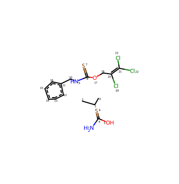 CCC.NC(O)=S.S=C(NCc1ccccc1)OCC(Cl)=C(Cl)Cl